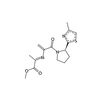 C=C(/N=C(\C)C(=O)OC)C(=O)N1CCC[C@@H]1c1nc(C)cs1